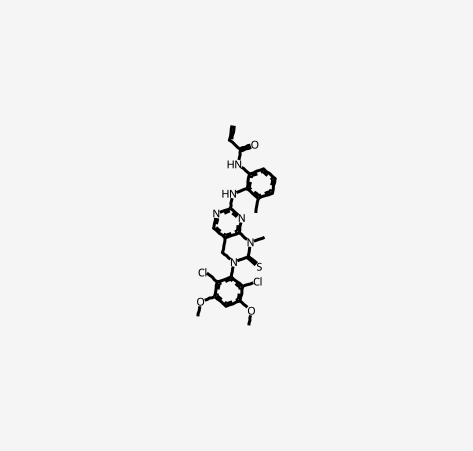 C=CC(=O)Nc1cccc(C)c1Nc1ncc2c(n1)N(C)C(=S)N(c1c(Cl)c(OC)cc(OC)c1Cl)C2